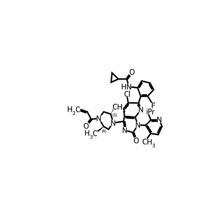 C=CC(=O)N1C[C@H](C)N(c2nc(=O)n(-c3c(C)ccnc3C(C)C)c3nc(-c4c(F)cccc4NC(=O)C4CC4)c(Cl)cc23)C[C@H]1C